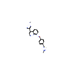 Cc1nsc(-c2ccc(C(=O)Nc3cccc4c(-c5cnn(CC(F)(F)F)c5)ccnc34)cc2)n1